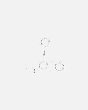 Cc1nc(C(=O)OC(C)(C)C)nc(C#Cc2ccncc2)c1Cc1ccccc1Cl